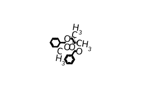 CC1C=CC=CC1C(=O)O[C@@H](C)[C@@H](C)OC(=O)c1ccccc1